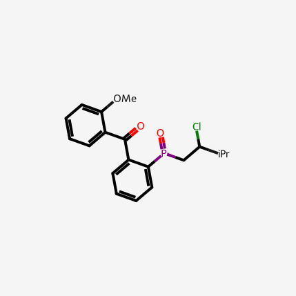 COc1ccccc1C(=O)c1ccccc1[P](=O)CC(Cl)C(C)C